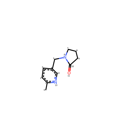 Cc1ccc(CN2CCCC2=O)cn1